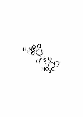 CC(CSC(=O)c1ccc(Cl)c(S(N)(=O)=O)c1)C(=O)N1CCC[C@H]1C(=O)O